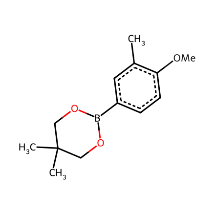 COc1ccc(B2OCC(C)(C)CO2)cc1C